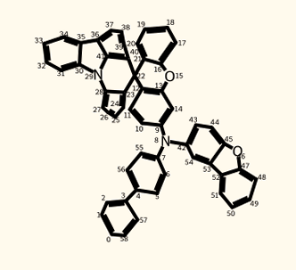 c1ccc(-c2ccc(N(c3ccc4c(c3)Oc3ccccc3C43c4ccccc4-n4c5ccccc5c5cccc3c54)c3ccc4oc5ccccc5c4c3)cc2)cc1